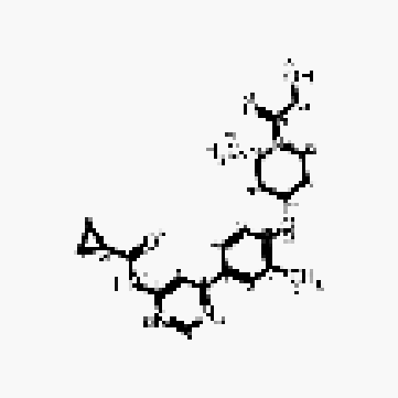 Cc1cc(-c2cc(NC(=O)C3CC3)ncn2)ccc1O[C@H]1CCN(C(=O)CO)[C@@H](C)C1